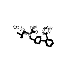 C=C(C)[C@@H](C(=O)O)N(Cc1ccc(-c2ccccc2-c2nn[nH]n2)cc1)C(=O)CCCC